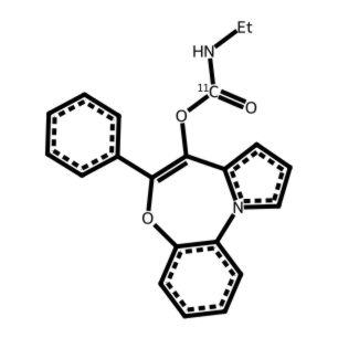 CCN[11C](=O)OC1=C(c2ccccc2)Oc2ccccc2-n2cccc21